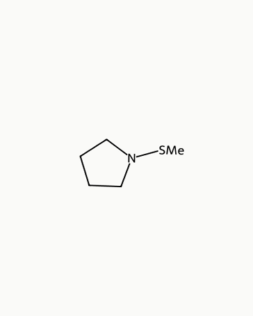 CSN1CCCC1